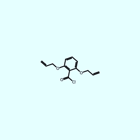 C=CCOc1cccc(OCC=C)c1C(=O)Cl